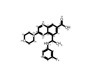 CC(Nc1cncc(F)c1)c1cc(C(=O)O)cc2ncc(N3CCOCC3)nc12